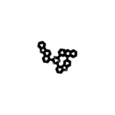 c1ccc(-c2nc(-c3cccc4c3ccc3c5ccccc5sc43)nc(-c3cccc4oc5ccc(-c6cccc7ccccc67)cc5c34)n2)cc1